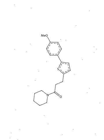 COc1ccc(-c2ccc(CCC(=O)N3CCCCC3)s2)cc1